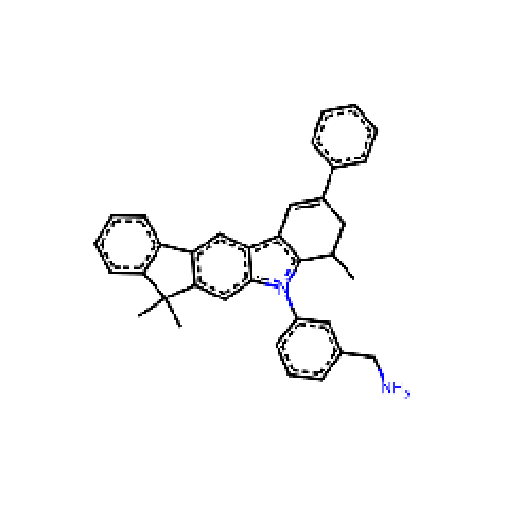 CC1CC(c2ccccc2)=Cc2c1n(-c1cccc(CN)c1)c1cc3c(cc21)-c1ccccc1C3(C)C